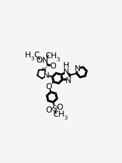 CON(C)C(=O)[C@H]1CCCN1c1cc2[nH]c(-c3ccccn3)nc2cc1Oc1ccc(S(C)(=O)=O)cc1